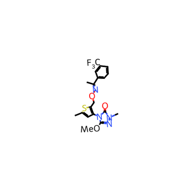 COc1nn(C)c(=O)n1-c1cc(C)sc1CON=C(C)c1cccc(C(F)(F)F)c1